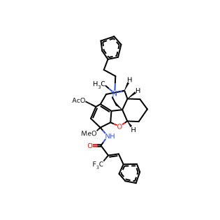 COC1(NC(=O)C(=Cc2ccccc2)C(F)(F)F)C=C(OC(C)=O)C2=C3C1O[C@H]1CCC[C@H]4[C@@H](C2)[N+](C)(CCc2ccccc2)CC[C@]314